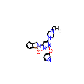 CN1CCN(c2cc(N3Cc4ccccc4[S+]3[O-])nc(Oc3cccnc3)n2)CC1